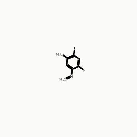 C=Nc1cc(C)c(I)cc1F